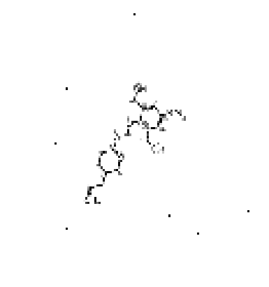 C=CCC1CCC(OCOc2c(CO)cc(C)cc2CO)OC1